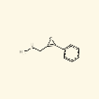 CNCC1=C(c2ccccc2)O1